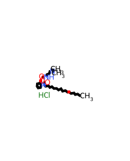 CCCCCCCCCCCCCCCCCCN(C=O)C1CC=CCC1COC(=O)NCCCN(C)C.Cl